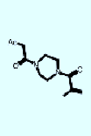 C=C(C)C(=O)N1CCN(C(=O)CC(C)=O)CC1